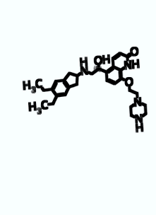 CCc1cc2c(cc1CC)CC(NC[C@@H](O)c1ccc(OCCN3CCNCC3)c3[nH]c(=O)ccc13)C2